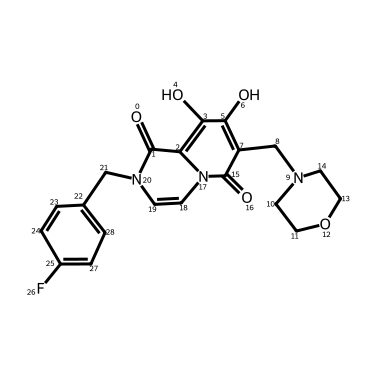 O=c1c2c(O)c(O)c(CN3CCOCC3)c(=O)n2ccn1Cc1ccc(F)cc1